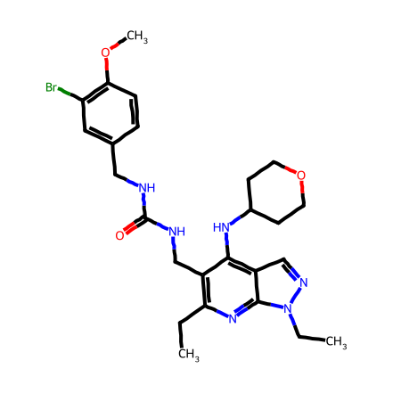 CCc1nc2c(cnn2CC)c(NC2CCOCC2)c1CNC(=O)NCc1ccc(OC)c(Br)c1